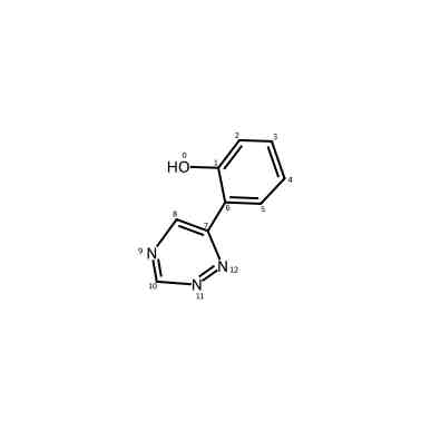 Oc1ccccc1-c1cncnn1